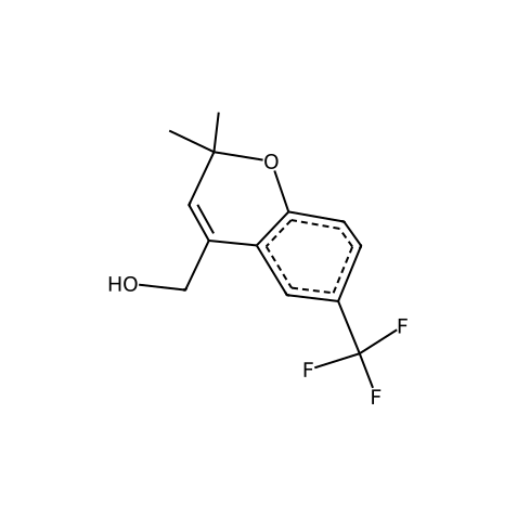 CC1(C)C=C(CO)c2cc(C(F)(F)F)ccc2O1